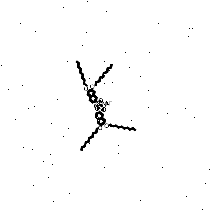 CCCCCCCCCCOc1cc2ccc(S(=O)(=O)C(=[N+]=[N-])S(=O)(=O)c3ccc4cc(OCCCCCCCCCC)c(OCCCCCCCCCC)cc4c3)cc2cc1OCCCCCCCCCC